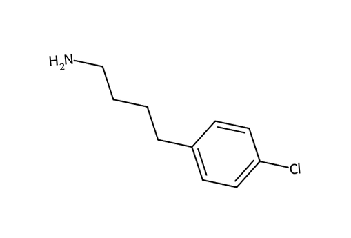 NCCCCc1ccc(Cl)cc1